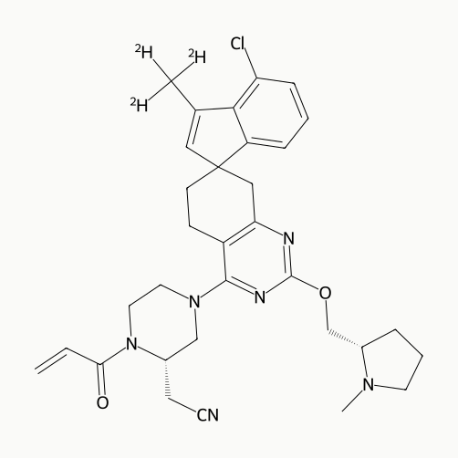 [2H]C([2H])([2H])C1=CC2(CCc3c(nc(OC[C@@H]4CCCN4C)nc3N3CCN(C(=O)C=C)[C@@H](CC#N)C3)C2)c2cccc(Cl)c21